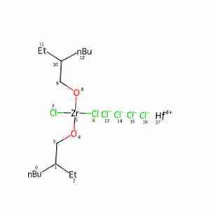 CCCCC(CC)C[O][Zr]([Cl])([Cl])[O]CC(CC)CCCC.[Cl-].[Cl-].[Cl-].[Cl-].[Hf+4]